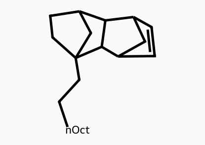 CCCCCCCCCCC12CCC(C1)C1C3C=CC(C3)C12